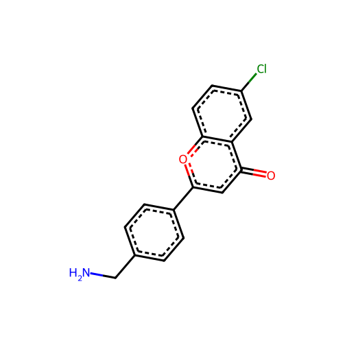 NCc1ccc(-c2cc(=O)c3cc(Cl)ccc3o2)cc1